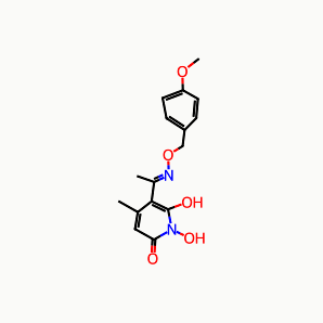 COc1ccc(CO/N=C(\C)c2c(C)cc(=O)n(O)c2O)cc1